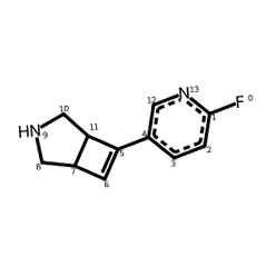 Fc1ccc(C2=CC3CNCC23)cn1